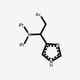 CC(=O)CC(c1c[nH]cn1)N(C(C)C)C(C)C